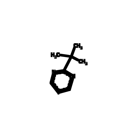 CC(C)(C)c1nc[c]cn1